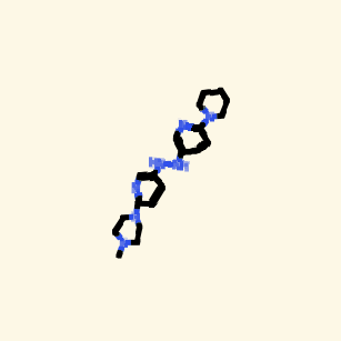 CN1CCN(c2ccc(NNc3ccc(N4CCCCC4)nc3)cn2)CC1